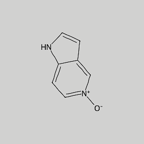 [O-][n+]1ccc2[nH]ccc2c1